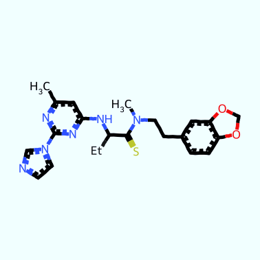 CCC(Nc1cc(C)nc(-n2ccnc2)n1)C(=S)N(C)CCc1ccc2c(c1)OCO2